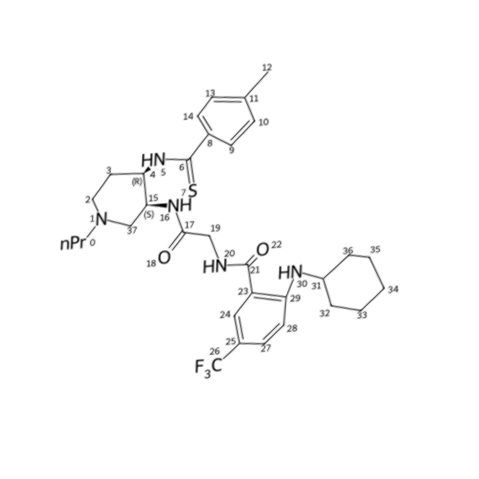 CCCN1CC[C@@H](NC(=S)c2ccc(C)cc2)[C@@H](NC(=O)CNC(=O)c2cc(C(F)(F)F)ccc2NC2CCCCC2)C1